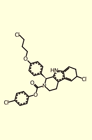 O=C(Oc1ccc(Cl)cc1)N1CCc2c([nH]c3c2=CC(Cl)CC=3)[C@@H]1c1ccc(OCCCCl)cc1